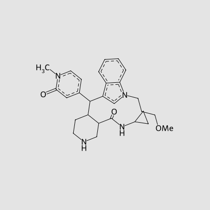 COCCCn1cc(C(c2ccn(C)c(=O)c2)C2CCNCC2C(=O)NC2CC2)c2ccccc21